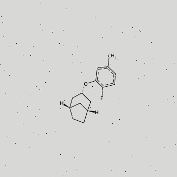 Cc1ccc(F)c(O[C@@H]2C[C@@H]3CC[C@@H](C3)C2)c1